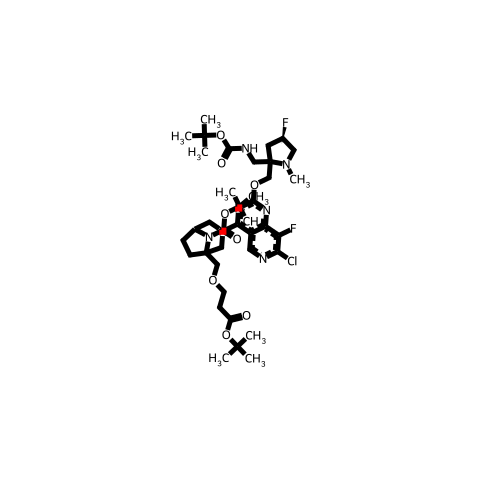 CN1C[C@H](F)CC1(CNC(=O)OC(C)(C)C)COc1nc(N2CC3CCC(COCCC(=O)OC(C)(C)C)(C2)N3C(=O)OC(C)(C)C)c2cnc(Cl)c(F)c2n1